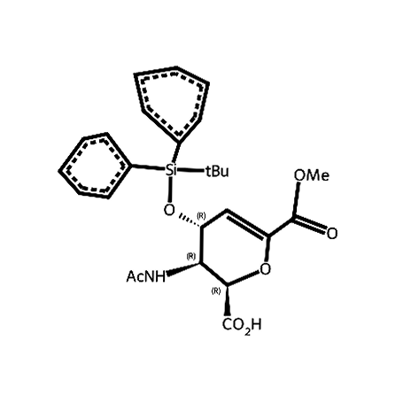 COC(=O)C1=C[C@@H](O[Si](c2ccccc2)(c2ccccc2)C(C)(C)C)[C@H](NC(C)=O)[C@H](C(=O)O)O1